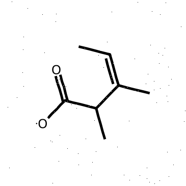 CC=C(C)C(C)C([O])=O